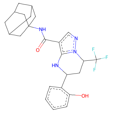 O=C(NC12CC3CC(CC(C3)C1)C2)c1cnn2c1NC(c1ccccc1O)CC2C(F)(F)F